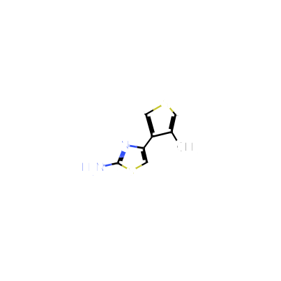 Cc1cscc1-c1csc(N)n1